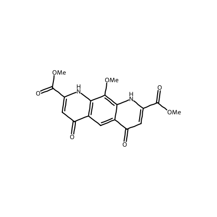 COC(=O)c1cc(=O)c2cc3c(=O)cc(C(=O)OC)[nH]c3c(OC)c2[nH]1